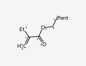 C=C(CC)C(=O)OCC(C)CCC